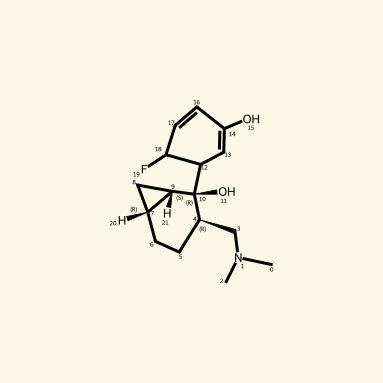 CN(C)C[C@H]1CC[C@@H]2C[C@@H]2[C@]1(O)C1C=C(O)C=CC1F